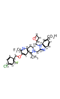 C[C@H]1c2cc(OCc3ccc(Cl)cc3F)c(C(F)(F)F)nc2CCN1Cc1nc2ccc(C(=O)O)cc2n1C[C@@H]1CCO1